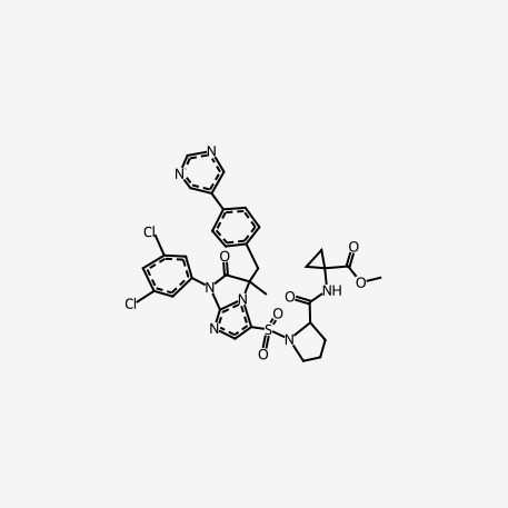 COC(=O)C1(NC(=O)C2CCCN2S(=O)(=O)c2cnc3n2C(C)(Cc2ccc(-c4cncnc4)cc2)C(=O)N3c2cc(Cl)cc(Cl)c2)CC1